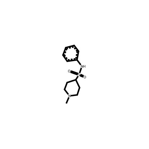 CN1CCC(S(=O)(=O)Nc2ccccc2)CC1